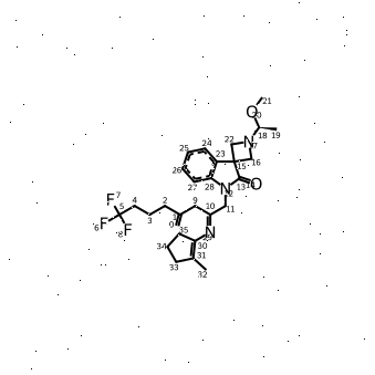 C=C(CCCC(F)(F)F)C/C(CN1C(=O)C2(CN([C@H](C)OC)C2)c2ccccc21)=N\C1=C(C)CCC1